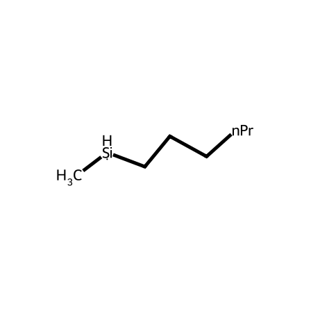 CCCCCC[SiH]C